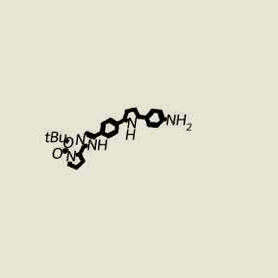 CC(C)(C)OC(=O)N1CCCC1c1ncc(-c2ccc(C3CCC(c4ccc(N)cc4)N3)cc2)[nH]1